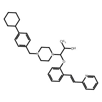 CC(O)C(Oc1ccccc1/C=C/c1ccccn1)N1CCN(Cc2ccc(C3CCCCC3)cc2)CC1